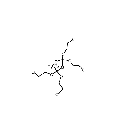 CC(OCCCl)(OCCCl)OC(C)(OCCCl)OCCCl